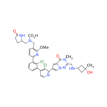 COc1nc(-c2cccc(-c3ccnc(-c4cc5c(=O)n(C)c(CNC6CC(C)(O)C6)nn5c4)c3Cl)c2Cl)ccc1CN(CC1CCC(=O)N1)C(=O)O